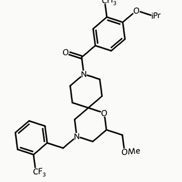 COCC1CN(Cc2ccccc2C(F)(F)F)CC2(CCN(C(=O)c3ccc(OC(C)C)c(C)c3)CC2)O1